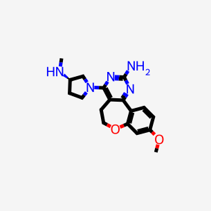 CN[C@@H]1CCN(c2nc(N)nc3c2CCOc2cc(OC)ccc2-3)C1